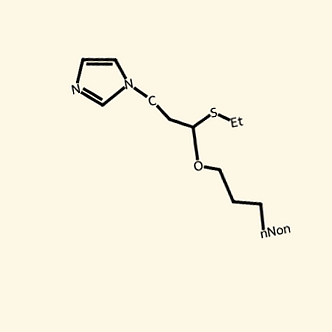 CCCCCCCCCCCCOC(CCn1ccnc1)SCC